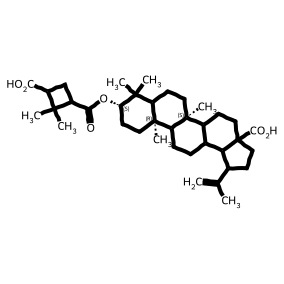 C=C(C)C1CCC2(C(=O)O)CCC3C(CCC4[C@@]3(C)CCC3C(C)(C)[C@@H](OC(=O)C5CC(C(=O)O)C5(C)C)CC[C@@]34C)C12